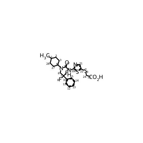 CC1CCC(N(CC(F)(F)c2ccccc2)C(=O)Nc2ncc(SCC(=O)O)s2)CC1